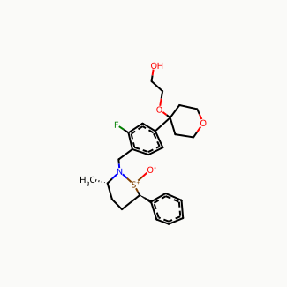 C[C@H]1CC[C@H](c2ccccc2)[S+]([O-])N1Cc1ccc(C2(OCCO)CCOCC2)cc1F